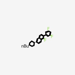 CCCC[C@H]1CC[C@H](c2ccc3c(F)c(-c4cc(F)cc(F)c4)ccc3c2)CC1